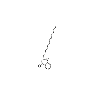 CCCCCC=CCCCCCCc1cc(=O)c2ccccc2n1C